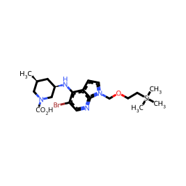 C[C@H]1C[C@@H](Nc2c(Br)cnc3c2ccn3COCC[Si](C)(C)C)CN(C(=O)O)C1